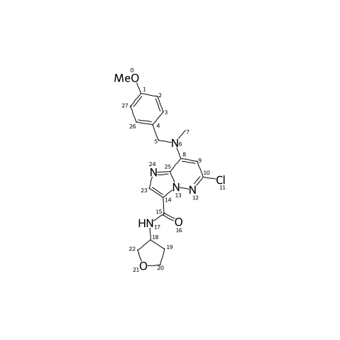 COc1ccc(CN(C)c2cc(Cl)nn3c(C(=O)NC4CCOC4)cnc23)cc1